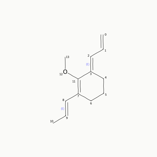 C=C/C=C1\CCCC(/C=C/C)=C1OC